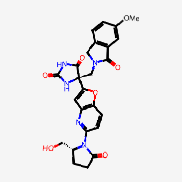 COc1ccc2c(c1)C(=O)N(C[C@@]1(c3cc4nc(N5C(=O)CC[C@@H]5CO)ccc4o3)NC(=O)NC1=O)C2